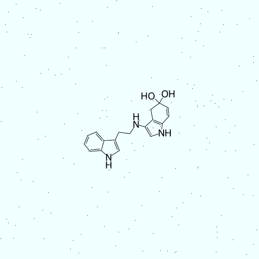 OC1(O)C=Cc2[nH]cc(NCCc3c[nH]c4ccccc34)c2C1